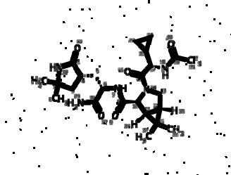 CC1(C)C[C@@H](C[C@H](NC(=O)[C@@H]2[C@@H]3[C@H](CN2C(=O)[C@@H](NC(=O)C(F)(F)F)C2CC2)C3(C)C)C(N)=O)C(=O)N1